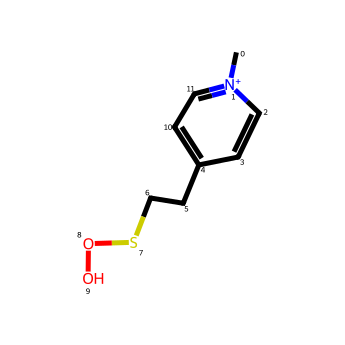 C[n+]1ccc(CCSOO)cc1